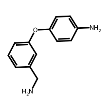 NCc1cccc(Oc2ccc(N)cc2)c1